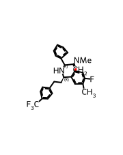 C=C(NC)[C@H](N[C@H](CCc1ccc(C(F)(F)F)cc1)c1ccc(F)c(C)c1)c1ccccc1